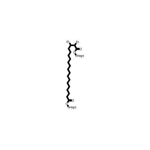 CCCCCCCOC(=O)CCCCCCCCCCCCCCCC(CC)C(CC)C(=O)OCCCCCCC